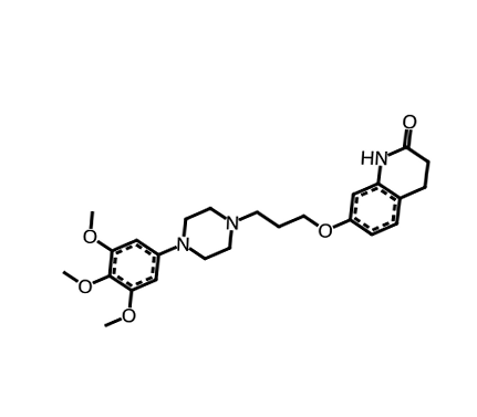 COc1cc(N2CCN(CCCOc3ccc4c(c3)NC(=O)CC4)CC2)cc(OC)c1OC